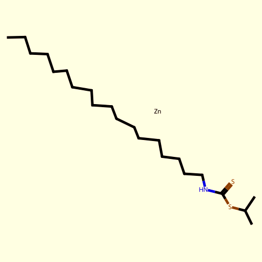 CCCCCCCCCCCCCCCCCCNC(=S)SC(C)C.[Zn]